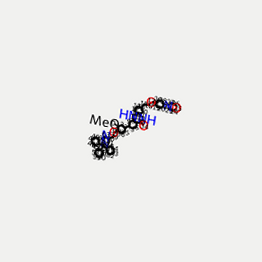 COc1cc(-c2ccc3c(c2)Nc2ccc(CCOc4ccc(N5CCOCC5)cc4)cc2NC3=O)ccc1OCc1cn(C(c2ccccc2)(c2ccccc2)c2ccccc2)cn1